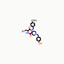 COc1ccc(CN2C(=O)C(CC(C)C)NC(=O)C23CCN(Cc2ccc(O)cc2)CC3)cc1